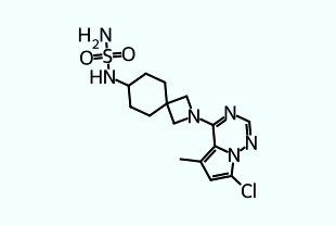 Cc1cc(Cl)n2ncnc(N3CC4(CCC(NS(N)(=O)=O)CC4)C3)c12